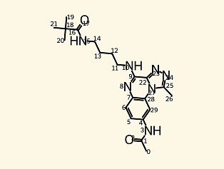 CC(=O)Nc1ccc2nc(NCCCCNC(=O)C(C)(C)C)c3nnc(C)n3c2c1